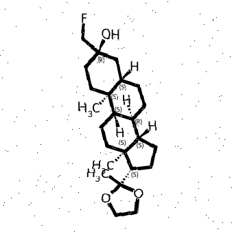 CC1([C@H]2CC[C@H]3[C@@H]4CC[C@H]5C[C@@](O)(CF)CC[C@]5(C)[C@H]4CC[C@]23C)OCCO1